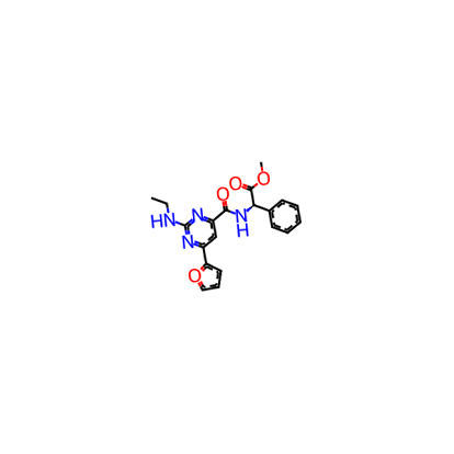 CCNc1nc(C(=O)N[C@@H](C(=O)OC)c2ccccc2)cc(-c2ccco2)n1